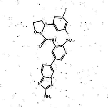 COc1ncc(-c2ccc3nc(N)nn3c2)cc1NC(=O)N1OCC[C@H]1c1cc(F)cc(F)c1